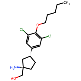 CCCCCOc1c(Cl)cc([C@@H]2CC[C@](N)(CO)C2)cc1Cl